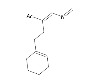 C=N/C=C(\CCC1=CCCCC1)C(C)=O